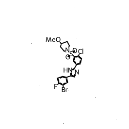 COC1CCN(S(=O)(=O)c2cc(-c3ncc(-c4ccc(F)c(Br)c4)[nH]3)ccc2Cl)CC1